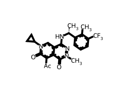 CC(=O)c1c(=O)n(C2CC2)cc2c(N[C@H](C)c3cccc(C(F)(F)F)c3C)nn(C)c(=O)c12